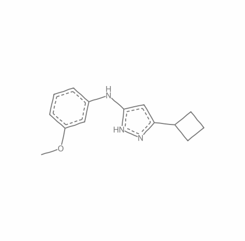 COc1cccc(Nc2cc(C3CCC3)n[nH]2)c1